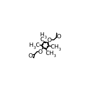 Cc1c(C)c(OCC2CO2)c(C)c(C)c1OCC1CO1